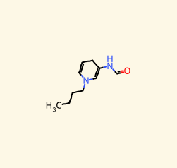 CCCCN1C=CCC(NC=O)=C1